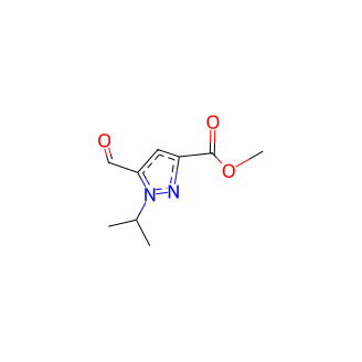 COC(=O)c1cc(C=O)n(C(C)C)n1